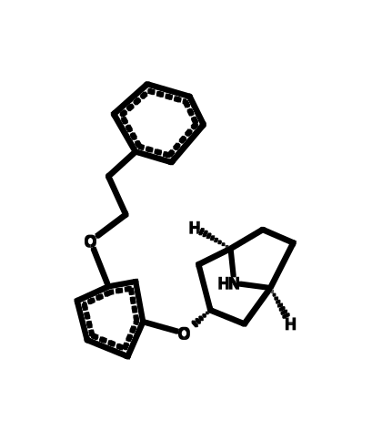 c1ccc(CCOc2cccc(O[C@@H]3C[C@H]4CC[C@@H](C3)N4)c2)cc1